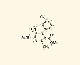 COC(=O)c1c(C)nc(NC(C)=O)c([N+](=O)[O-])c1-c1cccc(Cl)c1Cl